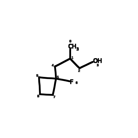 CC(CO)CC1(F)CCC1